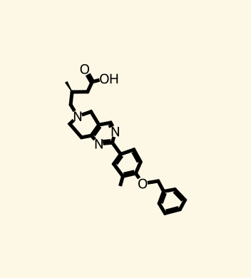 Cc1cc(-c2ncc3c(n2)CCN(C[C@@H](C)CC(=O)O)C3)ccc1OCc1ccccc1